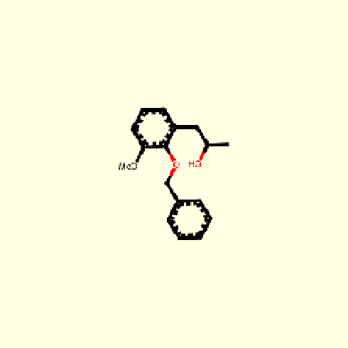 COc1cccc(CC(C)O)c1OCc1ccccc1